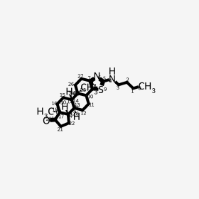 CCCCNc1nc2c(s1)C1CC[C@@H]3[C@H](CC[C@]4(C)C(=O)CC[C@@H]34)[C@@]1(C)CC2